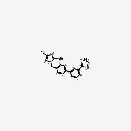 CCCCc1nc(Cl)nn1Cc1ccc(-c2cccc(-c3nnn[nH]3)c2)cc1